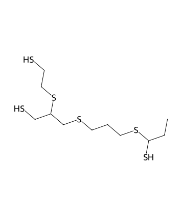 CCC(S)SCCCSCC(CS)SCCS